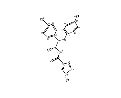 CC(NC(=O)c1cnn(C(C)C)c1)C(Cc1ccc(Cl)cc1)c1ccc(Cl)cc1